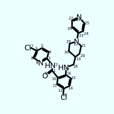 O=C(Nc1ccc(Cl)cn1)c1cc(Cl)ccc1NCC1CCN(c2ccncc2)CC1